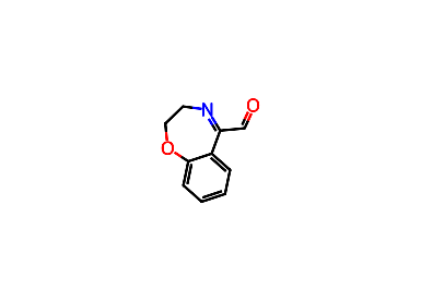 O=CC1=NCCOc2ccccc21